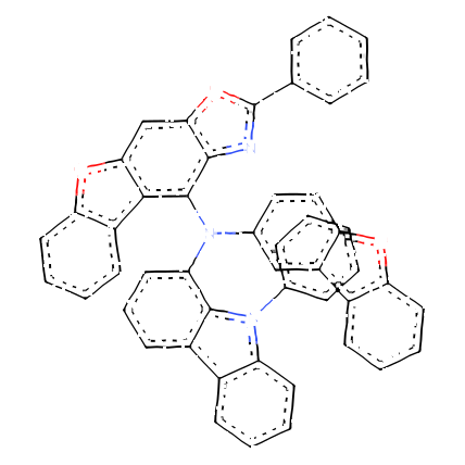 c1ccc(-c2nc3c(N(c4ccc5oc6ccccc6c5c4)c4cccc5c6ccccc6n(-c6ccccc6)c45)c4c(cc3o2)oc2ccccc24)cc1